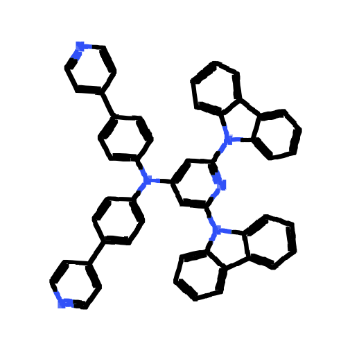 c1ccc2c(c1)c1ccccc1n2-c1cc(N(c2ccc(-c3ccncc3)cc2)c2ccc(-c3ccncc3)cc2)cc(-n2c3ccccc3c3ccccc32)n1